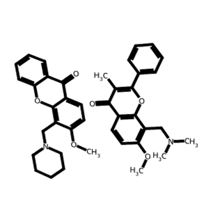 COc1ccc2c(=O)c(C)c(-c3ccccc3)oc2c1CN(C)C.COc1ccc2c(=O)c3ccccc3oc2c1CN1CCCCC1